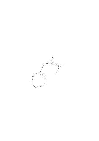 CC(O)=C(Cc1cncnc1)C(=O)O